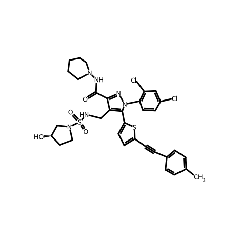 Cc1ccc(C#Cc2ccc(-c3c(CNS(=O)(=O)N4CC[C@@H](O)C4)c(C(=O)NN4CCCCC4)nn3-c3ccc(Cl)cc3Cl)s2)cc1